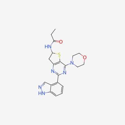 CCC(=O)NC1Cc2nc(-c3cccc4[nH]ncc34)nc(N3CCOCC3)c2S1